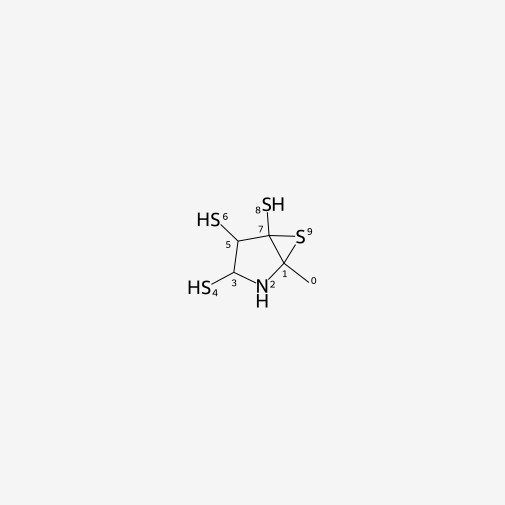 CC12NC(S)C(S)C1(S)S2